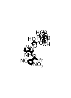 CC(C)C(OCc1cn([C@H]2C[C@@H](O)[C@@H](COP(=O)(O)OP(=O)(O)OP(=O)(O)O)O2)c2nccc(N)c12)c1cc(C#N)ccc1[N+](=O)[O-]